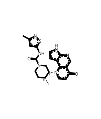 Cc1cc(NC(=O)N2CC[C@@H](C)[C@@H](n3ccc(=O)c4cnc5[nH]ccc5c43)C2)sn1